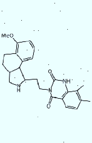 COc1cccc2c1CCC1CNC(CCn3c(=O)[nH]c4c(C)c(C)ccc4c3=O)C21